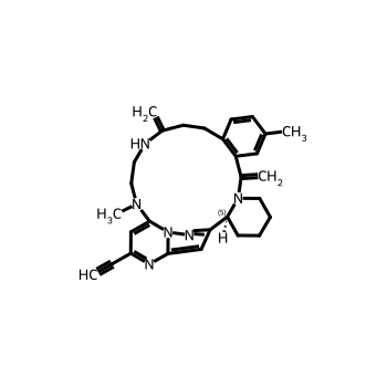 C#Cc1cc2n3nc(cc3n1)[C@@H]1CCCCN1C(=C)c1cc(C)ccc1CCC(=C)NCCN2C